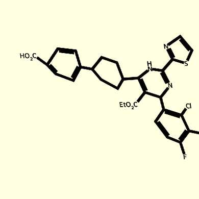 CCOC(=O)C1=C(C2CCC(c3ccc(C(=O)O)cc3)CC2)NC(c2nccs2)=NC1c1ccc(F)c(F)c1Cl